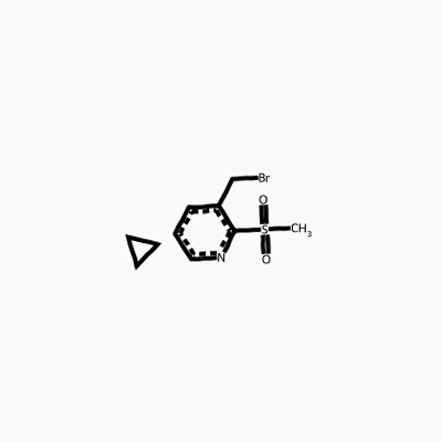 C1CC1.CS(=O)(=O)c1ncccc1CBr